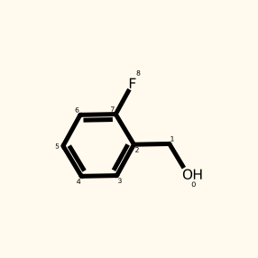 OCc1cc[c]cc1F